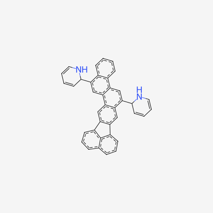 C1=CNC(c2cc3c4cc5c(cc4c(C4C=CC=CN4)cc3c3ccccc23)-c2cccc3cccc-5c23)C=C1